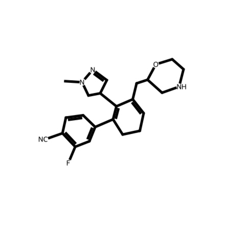 CN1CC(C2=C(c3ccc(C#N)c(F)c3)CCC=C2CC2CNCCO2)C=N1